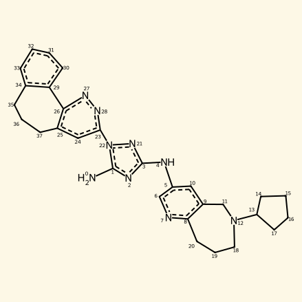 Nc1nc(Nc2cnc3c(c2)CN(C2CCCC2)CCC3)nn1-c1cc2c(nn1)-c1ccccc1CCC2